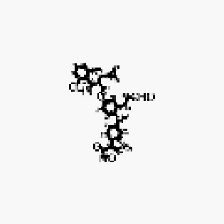 Cc1cccc(Cl)c1C(=N)/C(COc1ccc(N(C)c2ccc3c(C(=O)N=O)cn(C)c3c2)c(CCC=O)c1)=C(\O)C1CC1